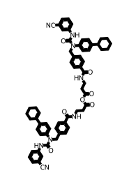 N#Cc1cccc(NC(=O)N(Cc2ccc(C(=O)NCCC(=O)OC(=O)CCNC(=O)c3ccc(CN(C(=O)Nc4cccc(C#N)c4)c4ccc(C5CCCCC5)cc4)cc3)cc2)c2ccc(C3=CCCCC3)cc2)c1